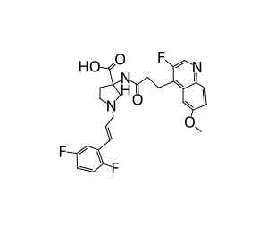 COc1ccc2ncc(F)c(CCC(=O)NC3(C(=O)O)CCN(CC=Cc4cc(F)ccc4F)C3)c2c1